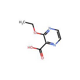 CCOc1nccnc1C(=O)O